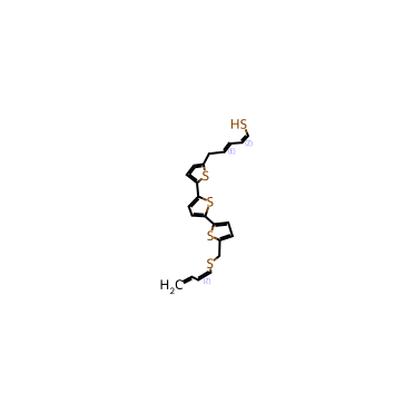 C=C/C=C\SCc1ccc(-c2ccc(C3=C=C=C(C/C=C/C=C\S)S3)s2)s1